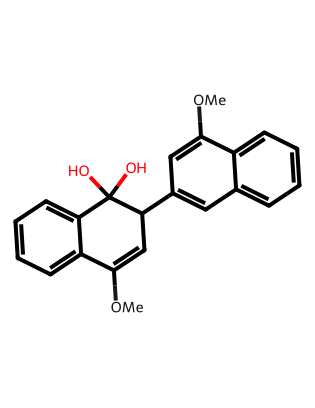 COC1=CC(c2cc(OC)c3ccccc3c2)C(O)(O)c2ccccc21